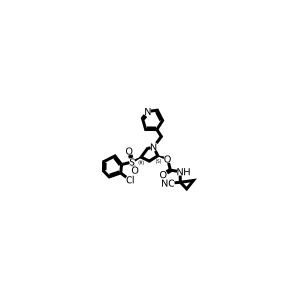 N#CC1(NC(=O)O[C@H]2C[C@@H](S(=O)(=O)c3ccccc3Cl)CN2Cc2ccncc2)CC1